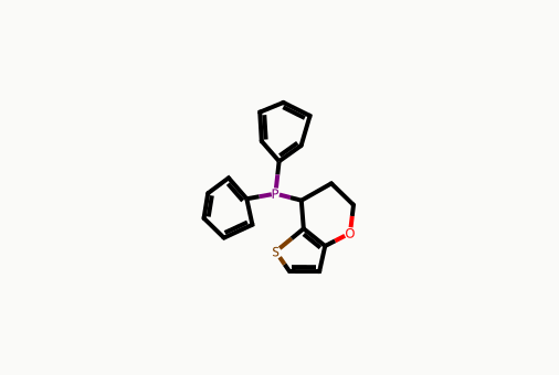 c1ccc(P(c2ccccc2)C2CCOc3ccsc32)cc1